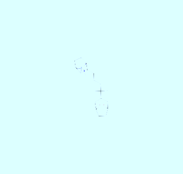 CN1C2CCC1C(CCCC(C)(C)C1CC3CCC(C1)O3)C2